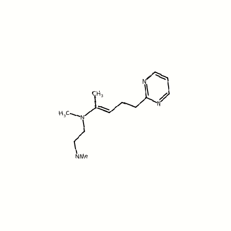 CNCCN(C)/C(C)=C/CCc1ncccn1